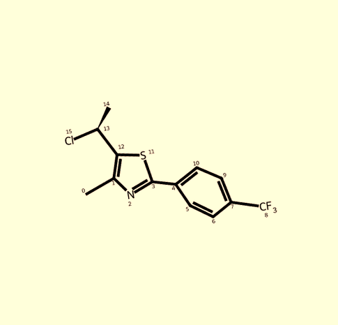 Cc1nc(-c2ccc(C(F)(F)F)cc2)sc1[C@H](C)Cl